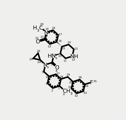 Cc1ccc(CN(C(=O)N[C@@H]2CNCC[C@H]2c2ccn(C)c(=O)c2)C2CC2)cc1Cc1cccc(F)c1